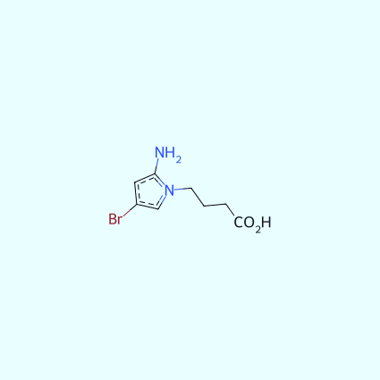 Nc1cc(Br)cn1CCCC(=O)O